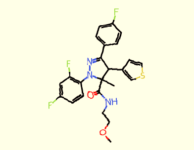 COCCNC(=O)C1(C)C(c2ccsc2)C(c2ccc(F)cc2)=NN1c1ccc(F)cc1F